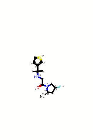 CC(C)(NCC(=O)N1C[C@@H](F)C[C@H]1C#N)c1ccsc1